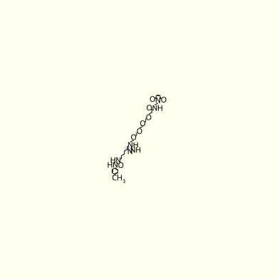 Cc1ccc(NC(=O)NCCCC/C(=C/NCCOCCOCCOCCOCCC(=O)NCCN2C(=O)C=CC2=O)N=N)cc1